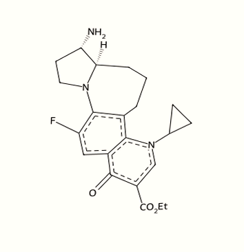 CCOC(=O)c1cn(C2CC2)c2c3c(c(F)cc2c1=O)N1CC[C@H](N)[C@H]1CCC3